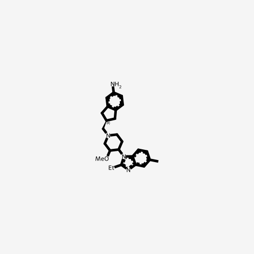 CCc1nc2cc(C)ccc2n1C1CCN(C[C@@H]2Cc3ccc(N)cc3C2)CC1OC